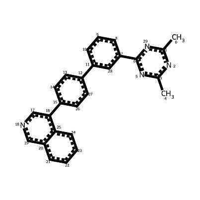 Cc1nc(C)nc(-c2cccc(-c3ccc(-c4cncc5ccccc45)cc3)c2)n1